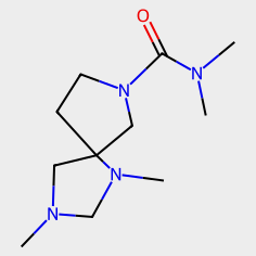 CN1CN(C)C2(CCN(C(=O)N(C)C)C2)C1